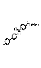 CCCCCCC(C)c1ccc(C(=O)Oc2ccc(-c3ccc(F)cc3)cc2)cc1